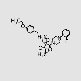 CCOc1ccc(CCCC[C@@](OC)(C(=O)OC)C(=O)N2CCN(c3ccccc3F)CC2)cc1